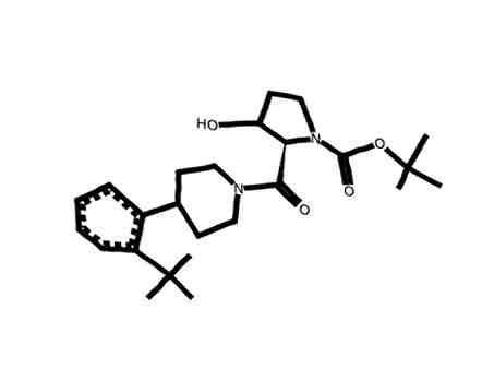 CC(C)(C)OC(=O)N1CCC(O)[C@@H]1C(=O)N1CCC(c2ccccc2C(C)(C)C)CC1